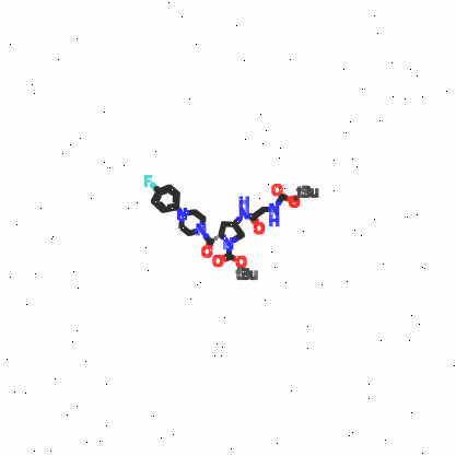 CC(C)(C)OC(=O)NCC(=O)NC1C[C@@H](C(=O)N2CCN(c3ccc(F)cc3)CC2)N(C(=O)OC(C)(C)C)C1